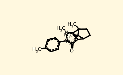 Cc1ccc(-n2c(=O)c3c(n2C)C2(C)CCC3C2(C)C)cc1